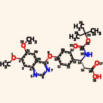 COc1cc2ncnc(Oc3ccc([C@@H](CC(=O)O)NC(=O)OC(C)(C)C)cc3)c2cc1OC